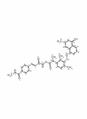 CNC(=O)c1ccc(/C=C/C(=O)NCC(=O)N(C)c2ccc(C)c(COc3cccn4c(=O)cc(C)nc34)c2C)cc1